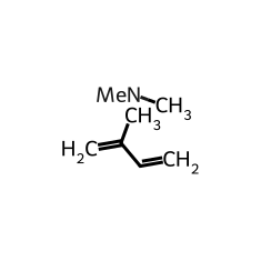 C=CC(=C)C.CNC